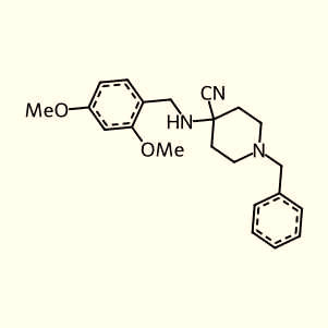 COc1ccc(CNC2(C#N)CCN(Cc3ccccc3)CC2)c(OC)c1